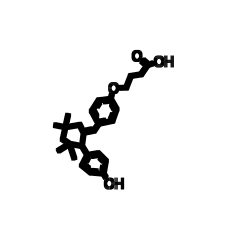 CC1(C)CC(=Cc2ccc(OCCCC(=O)O)cc2)C(c2ccc(O)cc2)C(C)(C)C1